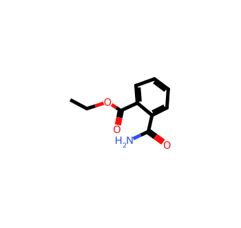 CCOC(=O)c1ccccc1C(N)=O